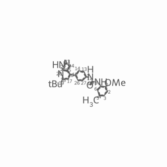 COc1ccc(C)cc1NC(=O)Nc1ccc(-c2cc(C(C)(C)C)nc3[nH]ncc23)cc1